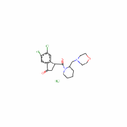 Cl.O=C1CC(C(=O)N2CCCCC2CN2CCOCC2)c2cc(Cl)c(Cl)cc21